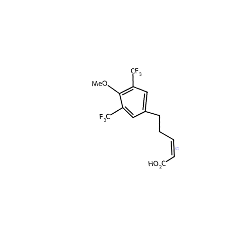 COc1c(C(F)(F)F)cc(CC/C=C\C(=O)O)cc1C(F)(F)F